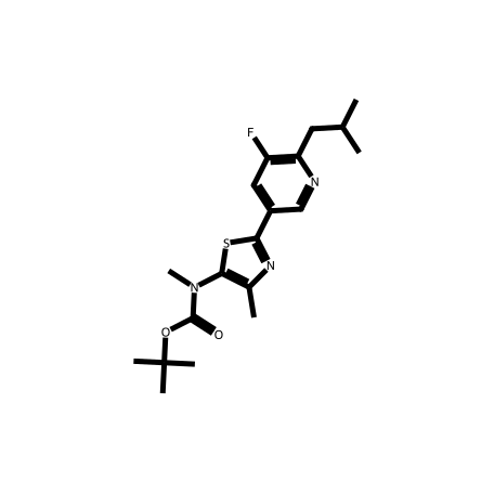 Cc1nc(-c2cnc(CC(C)C)c(F)c2)sc1N(C)C(=O)OC(C)(C)C